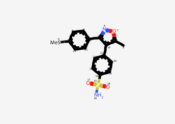 CSc1ccc(-c2noc(C)c2-c2ccc(S(N)(=O)=O)cc2)cc1